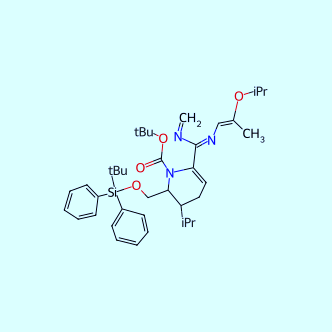 C=N/C(=N\C=C(/C)OC(C)C)C1=CCC(C(C)C)C(CO[Si](c2ccccc2)(c2ccccc2)C(C)(C)C)N1C(=O)OC(C)(C)C